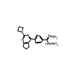 N/N=C(\NN)c1ccc(-c2nc(N3CCC3)nc3c2CCC3)cc1